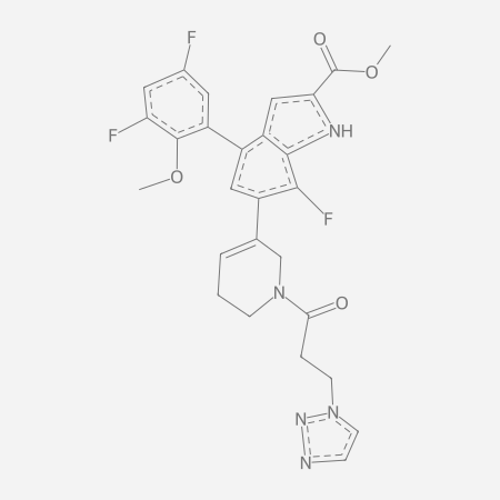 COC(=O)c1cc2c(-c3cc(F)cc(F)c3OC)cc(C3=CCCN(C(=O)CCn4ccnn4)C3)c(F)c2[nH]1